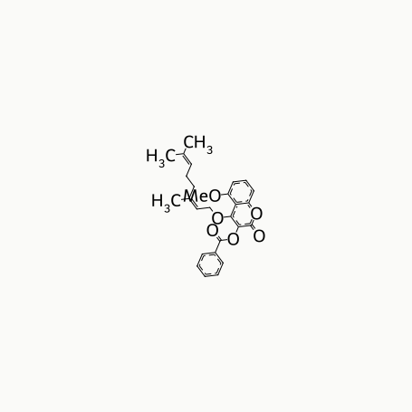 COc1cccc2oc(=O)c(OC(=O)c3ccccc3)c(OCC=C(C)CCC=C(C)C)c12